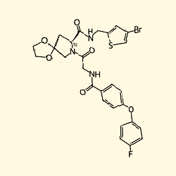 O=C(NCC(=O)N1CC2(C[C@H]1C(=O)NCc1cc(Br)cs1)OCCO2)c1ccc(Oc2ccc(F)cc2)cc1